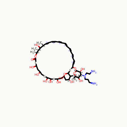 CC1O[C@@H](OC2/C=C/C=C/C=C/C=C/C=C/C=C/C=C/[C@H](C)C(O)[C@@H](C)[C@H](C)OC(=O)CC(O)CC(O)CCC(O)C(O)CC(O)CC3(O)C[C@H](O)C(C(=O)O)C(C2)O3)[C@@H](O)[C@@H](N(CCN)CCCN)C1O